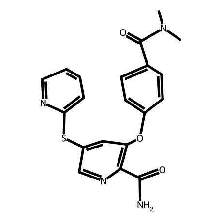 CN(C)C(=O)c1ccc(Oc2cc(Sc3ccccn3)cnc2C(N)=O)cc1